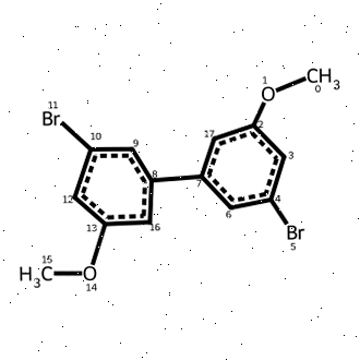 COc1cc(Br)cc(-c2cc(Br)cc(OC)c2)c1